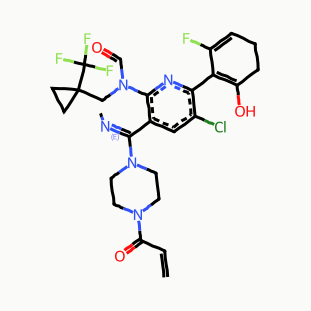 C=CC(=O)N1CCN(/C(=N/C)c2cc(Cl)c(C3=C(O)CCC=C3F)nc2N(C=O)CC2(C(F)(F)F)CC2)CC1